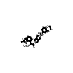 CC(=O)NC(C(=O)N1CC2=C(C1)CN(S(=O)(=O)c1ccc3c(c1)OCCO3)C2)c1cccc2oc(C)nc12